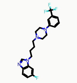 Fc1ccc2ncn(CCCCN3CCN(c4cccc(C(F)(F)F)c4)CC3)c2c1